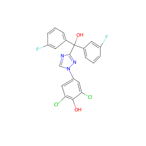 Oc1c(Cl)cc(-n2cnc(C(O)(c3cccc(F)c3)c3cccc(F)c3)n2)cc1Cl